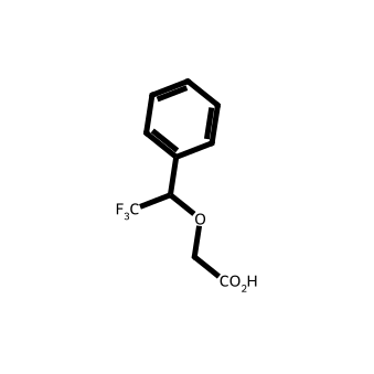 O=C(O)COC(c1ccccc1)C(F)(F)F